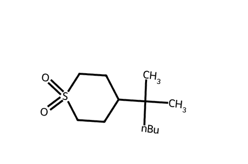 CCCCC(C)(C)C1CCS(=O)(=O)CC1